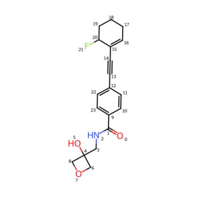 O=C(NCC1(O)COC1)c1ccc(C#CC2=CCCCC2F)cc1